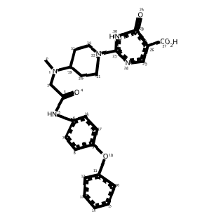 CN(CC(=O)Nc1ccc(Oc2ccccc2)cc1)C1CCN(c2ncc(C(=O)O)c(=O)[nH]2)CC1